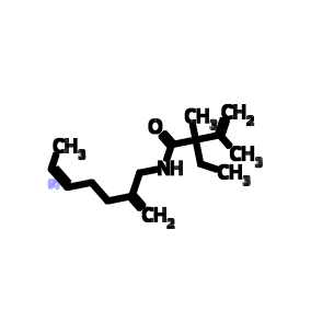 C=C(CC/C=C\C)CNC(=O)C(C)(CC)C(=C)C